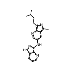 Cc1nn(CCC(C)C)c2ncc(Nc3n[nH]c4cccnc34)cc12